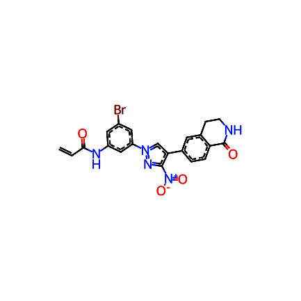 C=CC(=O)Nc1cc(Br)cc(-n2cc(-c3ccc4c(c3)CCNC4=O)c([N+](=O)[O-])n2)c1